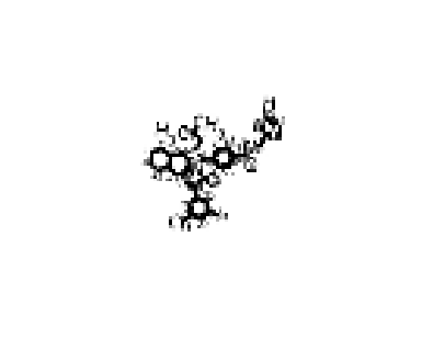 CC(C)CC[C@H](c1ccc(C(=O)NCc2nn[nH]n2)cc1)N1C(=O)C(c2cc(Cl)cc(I)c2)=NC12CCC1CCCCC1C2